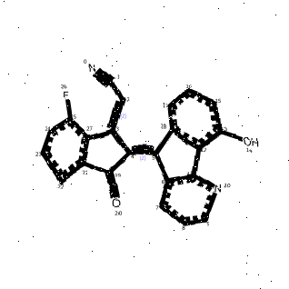 N#C/C=C1/C(=C2/c3cccnc3-c3c(O)cccc32)C(=O)c2cccc(F)c21